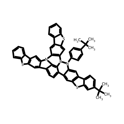 CC(C)(C)c1ccc(N2B3c4cc5sc6ccccc6c5cc4-n4c5cc6c(cc5c5ccc(c3c54)-c3cc4sc5cc(C(C)(C)C)ccc5c4cc32)sc2ccccc26)cc1